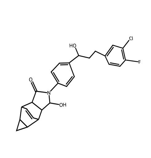 O=C1C2C3C=CC(C4CC34)C2C(O)N1c1ccc(C(O)CCc2ccc(F)c(Cl)c2)cc1